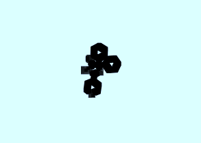 O=C1NC(c2ccncc2)=NC1(c1ccccc1)c1ccccc1